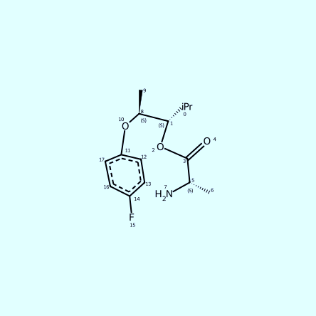 CC(C)[C@H](OC(=O)[C@H](C)N)[C@H](C)Oc1ccc(F)cc1